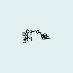 Cc1ccc(S(=O)(=O)OCCCc2ccc(CCCSc3cccc4c3CN(C3CCC(=O)NC3=O)C4=O)cc2)cc1